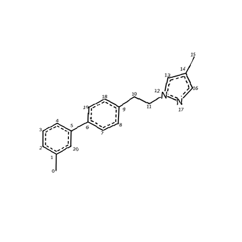 Cc1cccc(-c2ccc(CCn3cc(C)cn3)cc2)c1